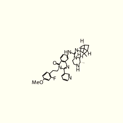 COc1ccc(CCn2c(-c3cccnc3)nc3cc(N/C(=N/[C@H]4C[C@H]5C[C@@H]([C@@H]4C)C5(C)C)N4CCN[C@@H](C)C4)ccc3c2=O)c(F)c1